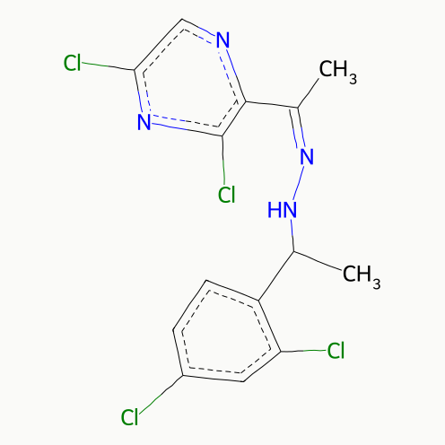 CC(=NNC(C)c1ccc(Cl)cc1Cl)c1ncc(Cl)nc1Cl